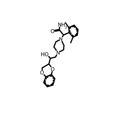 Cc1cccc(C)c1C(C(N)=O)N1CCN(CC(O)C2COc3ccccc3O2)CC1